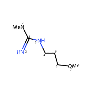 CNC(=N)NCCCOC